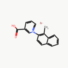 Cc1c(-[n+]2cccc(C(=O)O)c2)ccc2ccccc12.[Br-]